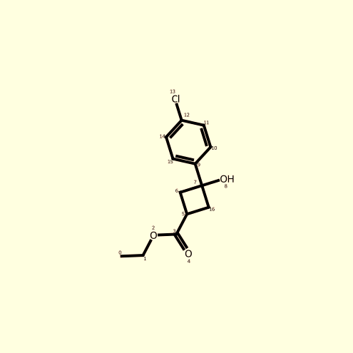 CCOC(=O)C1CC(O)(c2ccc(Cl)cc2)C1